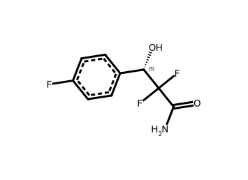 NC(=O)C(F)(F)[C@@H](O)c1ccc(F)cc1